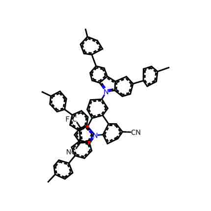 Cc1ccc(-c2ccc3c(c2)c2cc(-c4ccc(C)cc4)ccc2n3-c2ccc(-c3ccc(C#N)cc3C(F)(F)F)c(-c3cc(C#N)ccc3-n3c4ccc(-c5ccc(C)cc5)cc4c4cc(-c5ccc(C)cc5)ccc43)c2)cc1